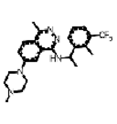 Cc1c(C(C)Nc2nnc(C)c3ccc(N4CCN(C)CC4)cc23)cccc1C(F)(F)F